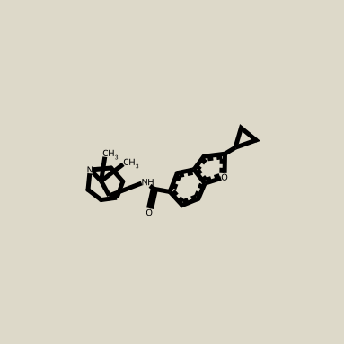 CC1(C)C(NC(=O)c2ccc3oc(C4CC4)cc3c2)C2CCN1CC2